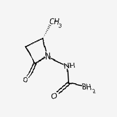 BC(=O)NN1C(=O)C[C@@H]1C